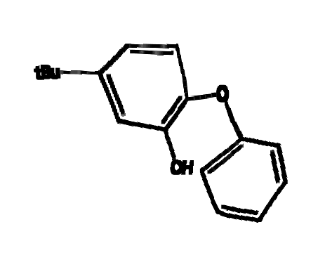 CC(C)(C)c1ccc(Oc2ccccc2)c(O)c1